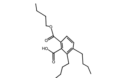 CCCCOC(=O)c1ccc(CCCC)c(CCCC)c1C(=O)O